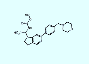 CC(C)(C)OC(=O)N[C@H](C(=O)O)[C@@H]1CCc2ccc(-c3ccc(CN4CCOCC4)cc3)cc21